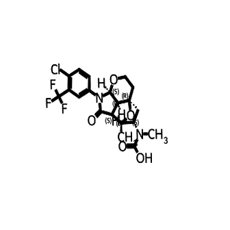 CN(C(=O)O)[C@H]1C[C@@]23CCO[C@H]4[C@@H]2[C@H](C(=O)N4c2ccc(Cl)c(C(F)(F)F)c2)[C@]1(C)O3